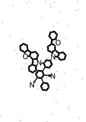 N#Cc1ccc(-c2ccc(-n3c4ccccc4c4c5oc6ccccc6c5ccc43)cc2-n2c3ccccc3c3c4oc5ccccc5c4ccc32)c(C#N)c1-c1ccccc1